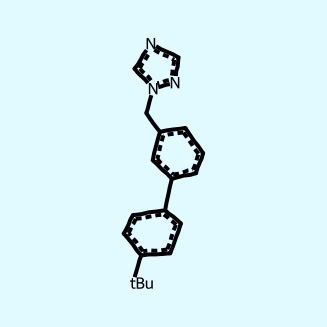 CC(C)(C)c1ccc(-c2cccc(Cn3cncn3)c2)cc1